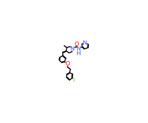 CC1CN(C(=O)Nc2cccnc2)CCC1=Cc1cccc(OCCc2cccc(F)c2)c1